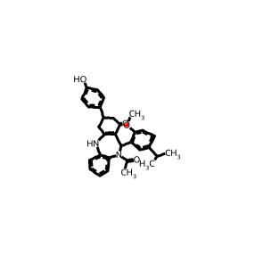 COc1ccc(C(C)C)cc1C1C2=C(CC(c3ccc(O)cc3)CC2=O)Nc2ccccc2N1C(C)=O